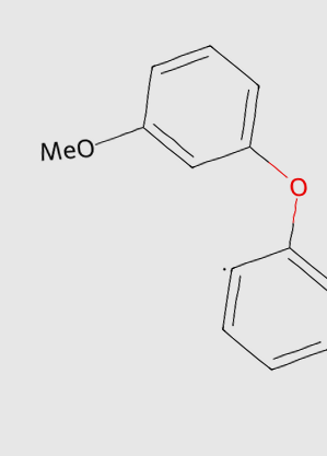 COc1cccc(Oc2[c]cccc2)c1